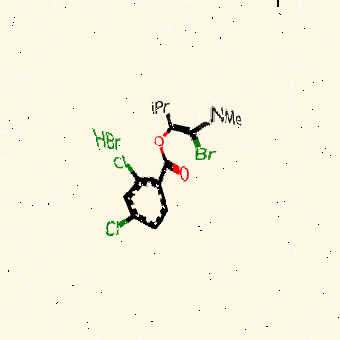 Br.CNC(Br)=C(OC(=O)c1ccc(Cl)cc1Cl)C(C)C